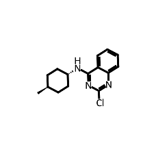 C[C@H]1CC[C@H](Nc2nc(Cl)nc3ccccc23)CC1